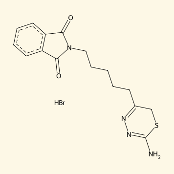 Br.NC1=NN=C(CCCCCN2C(=O)c3ccccc3C2=O)CS1